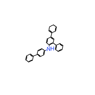 C1=CC(c2ccc(Nc3ccc(-c4ccccc4)cc3)c(-c3ccccc3)c2)=CCC1